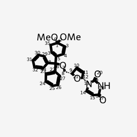 COC1(OC)C=CC(C(OC[C@@H]2C=C[C@H](n3ccc(=O)[nH]c3=O)O2)(c2ccccc2)c2ccccc2)=CC1